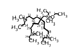 CCO[Si](C)(CC)CC(CCCN(C)CC)(CCCN(C)CC)CCCN(C)CC